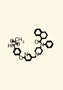 CS(=O)(=O)Nc1ccc(Oc2ccc(CN3CCC(N(C(=O)C4CCCc5ccccc54)c4ccccc4)CC3)cn2)cc1